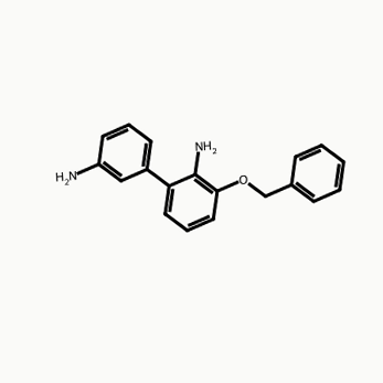 Nc1cccc(-c2cccc(OCc3ccccc3)c2N)c1